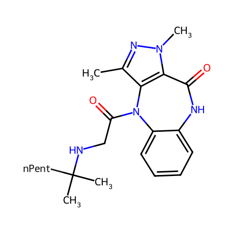 CCCCCC(C)(C)NCC(=O)N1c2ccccc2NC(=O)c2c1c(C)nn2C